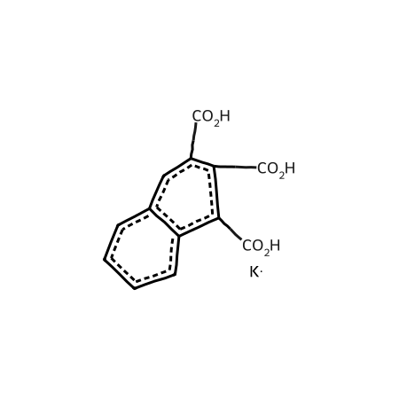 O=C(O)c1cc2ccccc2c(C(=O)O)c1C(=O)O.[K]